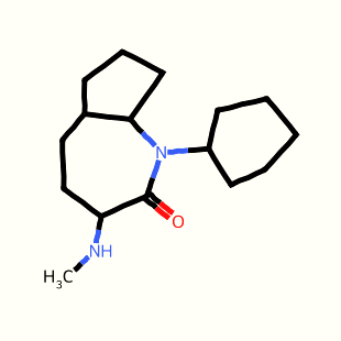 CNC1CCC2CCCC2N(C2CCCCC2)C1=O